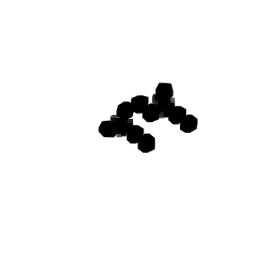 c1ccc(-c2ccc(-c3nc(-c4cccc(-c5cccc(-c6cccc(-c7nc(-c8ccc(-c9ccccc9)cc8)nc8c7sc7ccccc78)c6)c5)c4)c4oc5ccccc5c4n3)cc2)cc1